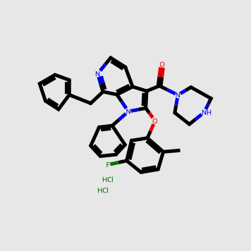 Cc1ccc(F)cc1Oc1c(C(=O)N2CCNCC2)c2ccnc(Cc3ccccc3)c2n1-c1ccccc1.Cl.Cl